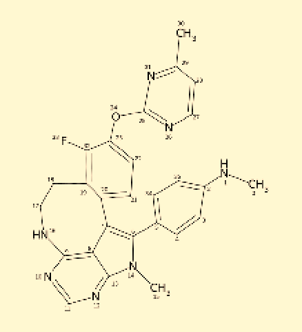 CNc1ccc(-c2c3c4c(ncnc4n2C)NCCc2c-3ccc(Oc3nccc(C)n3)c2F)cc1